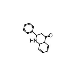 O=C1CC(c2ccccc2)NC2C=CC=CC12